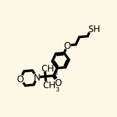 CC(C)(C(=O)c1ccc(OCCCS)cc1)N1CCOCC1